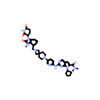 CN(C)C(=O)c1cc2cnc(Nc3ccc(N4CCC5(CC4)CN(Cc4cccc6c4n(C)c(=O)n6C4CCC(=O)NC4=O)C5)cn3)nc2n1C1CCCC1